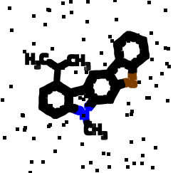 CC(C)c1cccc2c1c1cc3c(cc1n2C)sc1ccccc13